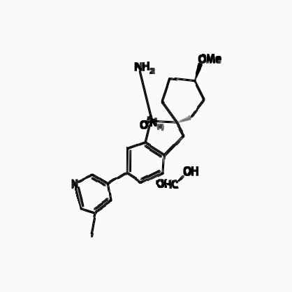 CO[C@H]1CC[C@]2(CC1)Cc1ccc(-c3cncc(C)c3)cc1[C@@]21COC(N)=N1.O=CO